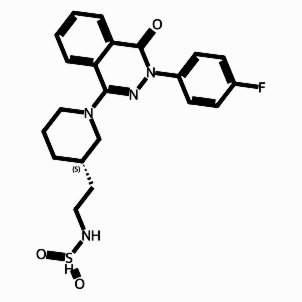 O=c1c2ccccc2c(N2CCC[C@@H](CCN[SH](=O)=O)C2)nn1-c1ccc(F)cc1